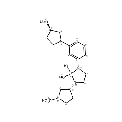 CO[C@@H]1CCN(c2cc(N3CCN([C@@H]4CCN(C(=O)O)C4)S3(O)O)ccn2)C1